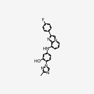 Cc1ncn(-c2ccc(Nc3cccn4cc(-c5ccc(F)cc5)nc34)cc2O)n1